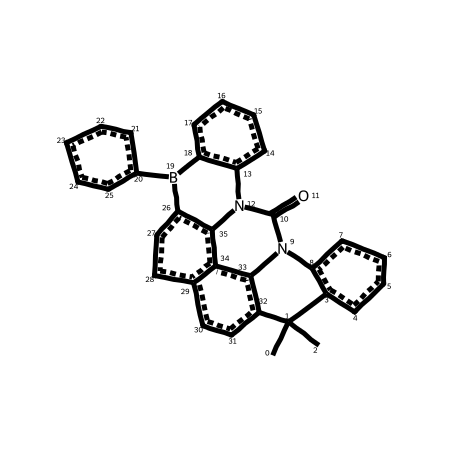 CC1(C)c2ccccc2N2C(=O)N3c4ccccc4B(c4ccccc4)c4ccc5ccc1c2c5c43